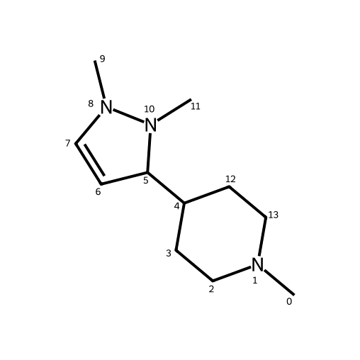 CN1CCC(C2C=CN(C)N2C)CC1